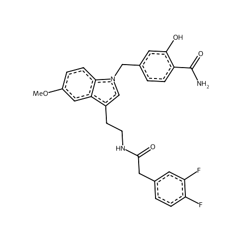 COc1ccc2c(c1)c(CCNC(=O)Cc1ccc(F)c(F)c1)cn2Cc1ccc(C(N)=O)c(O)c1